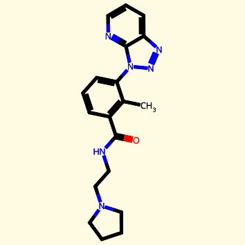 Cc1c(C(=O)NCCN2CCCC2)cccc1-n1nnc2cccnc21